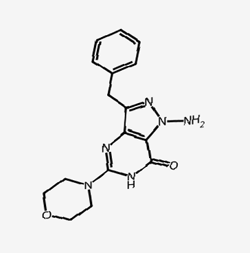 Nn1nc(Cc2ccccc2)c2nc(N3CCOCC3)[nH]c(=O)c21